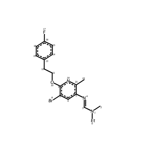 CCN(C)/C=N/c1cc(Br)c(OCCc2ccc(F)cc2)nc1C